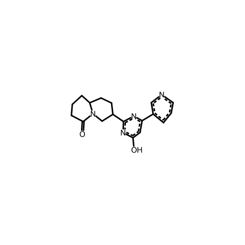 O=C1CCCC2CCC(c3nc(O)cc(-c4cccnc4)n3)CN12